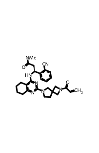 C=CC(=O)N1CC2(CCN(c3nc4c(c(N[C@@H](CC(=O)NC)c5ccccc5C#N)n3)CCCC4)C2)C1